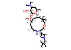 CO[C@]1(C)C[C@@H](C)CN(C)[C@H](C2CN(CC(C)(C)C)C2)COCC(C)(C)C[C@@H](C)[C@H]1O[C@@H]1O[C@H](C)C[C@H](N(C)C)[C@H]1O